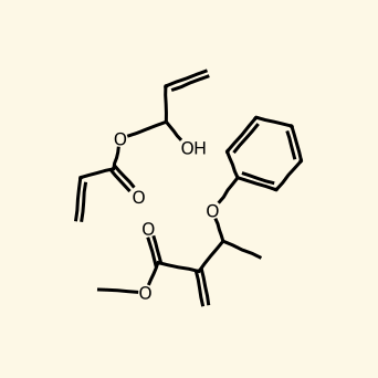 C=C(C(=O)OC)C(C)Oc1ccccc1.C=CC(=O)OC(O)C=C